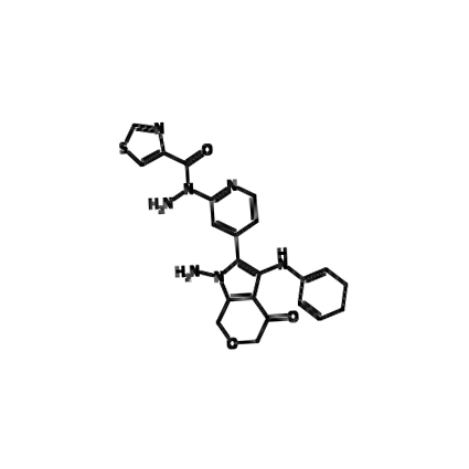 NN(C(=O)c1cscn1)c1cc(-c2c(NC3=CCCC=C3)c3c(n2N)COCC3=O)ccn1